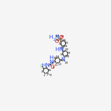 Cc1ccc(F)c(NC(=O)Nc2ccc(N(C)c3cccc(Nc4cccc(S(N)(=O)=O)c4)c3)cc2)c1